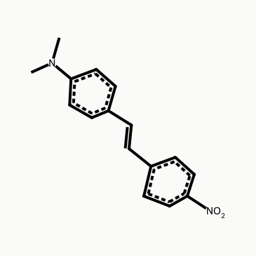 CN(C)c1ccc(C=Cc2ccc([N+](=O)[O-])cc2)cc1